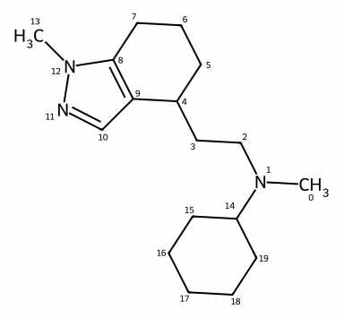 CN(CCC1CCCc2c1cnn2C)C1CCCCC1